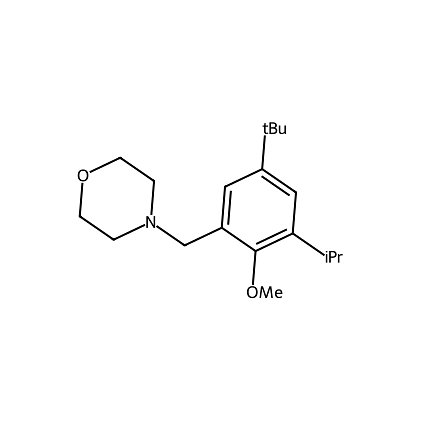 COc1c(CN2CCOCC2)cc(C(C)(C)C)cc1C(C)C